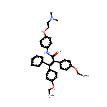 COCOc1ccc(C(C(=O)Nc2ccc(OCCN(C)C)cc2)=C(c2ccccc2)c2ccc(OCOC)cc2)cc1